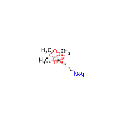 CC[C@H]1O[C@@H](OCCCCCCN=[N+]=[N-])[C@@H](OC(C)=O)C1OC(C)=O